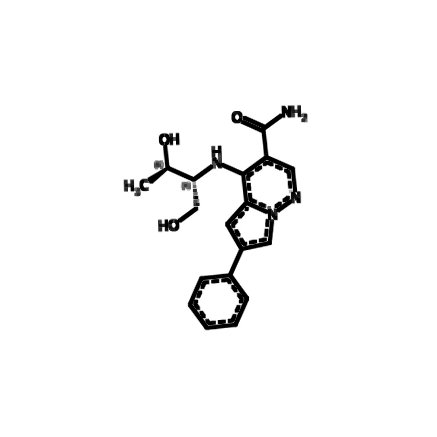 C[C@@H](O)[C@@H](CO)Nc1c(C(N)=O)cnn2cc(-c3ccccc3)cc12